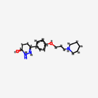 O=C1CCC(c2ccc(OCCCN3CCCCC3)cc2)=NN1